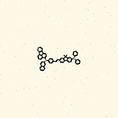 CC1(C)c2cc(/C=C/c3ccc(N(c4ccc5ccccc5c4)c4ccc5c6c(cccc46)C4=C5C=CCC4)cc3)ccc2-c2ccc(N(c3ccccc3)c3ccccc3)cc21